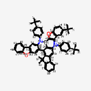 CC(C)(C)c1ccc(N2B3c4oc5ccc(C(C)(C)C)cc5c4N(c4ccc(C(C)(C)C)cc4)c4cc5c(c(c43)-c3cc4oc6ccccc6c4cc32)C(C)(C)c2ccccc2-5)cc1